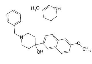 C1=CNCCC1.COc1ccc2cc(C3(O)CCN(Cc4ccccc4)CC3)ccc2c1.O